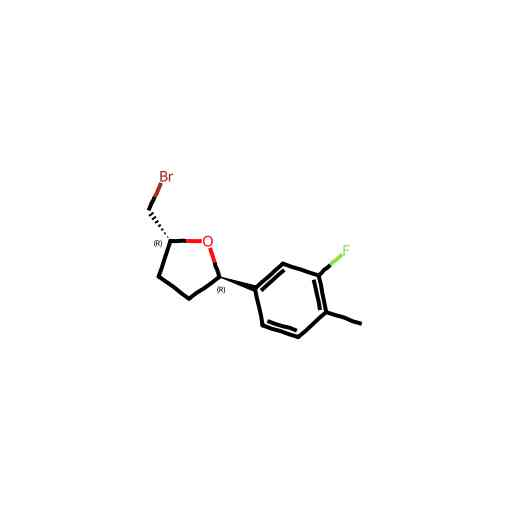 Cc1ccc([C@H]2CC[C@H](CBr)O2)cc1F